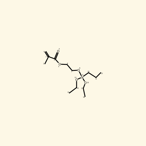 C=C(C)C(=O)OCCO[Si](CCC)(OCC)OCC